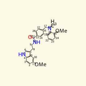 COc1ccc2[nH]cc(CCNC(=O)c3ccc(CN(C)c4ccccc4OC)cc3)c2c1